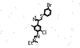 CCN(C)C=Nc1cc(C)c(C(CSc2cccc(Br)c2)=NC)cc1Cl